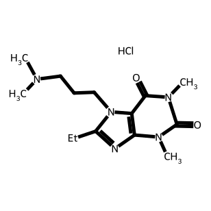 CCc1nc2c(c(=O)n(C)c(=O)n2C)n1CCCN(C)C.Cl